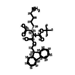 CC(C)(C)OC(=O)N(C(=O)OCC1c2ccccc2-c2ccccc21)[C@@H](CCCCN)C([O])=O